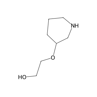 OCCOC1CCCNC1